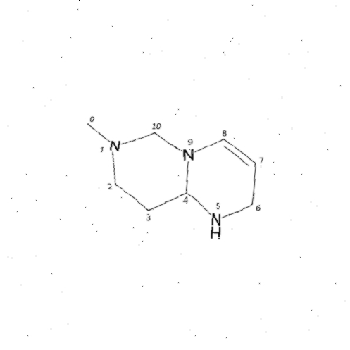 CN1CCC2NCC=CN2C1